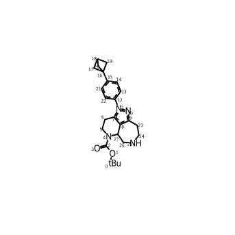 CC(C)(C)OC(=O)N1CCc2c3c(nn2-c2ccc(C45CC(C4)C5)cc2)CCNCC31